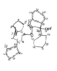 O=C(OCC[C@@H](CN1CCCC1)c1ccccn1)C(O)(c1ccccc1)C1CCCCC1